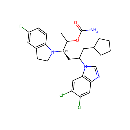 CC(OC(N)=O)[C@@H](CC(CC1CCCC1)n1cnc2cc(Cl)c(Cl)cc21)N1CCc2cc(F)ccc21